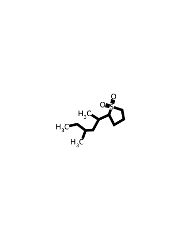 CCC(C)CC(C)C1CCCS1(=O)=O